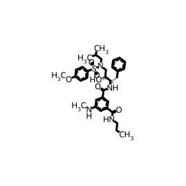 CCCNC(=O)c1cc(NC)cc(C(=O)N[C@@H](Cc2ccccc2)[C@H](O)CN(CC(C)C)S(=O)(=O)c2ccc(OC)cc2)c1